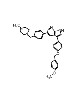 COc1ccc(COc2ccc(-c3c[nH]c4ncc(-c5ccc(CN6CCN(C)CC6)cc5)cc34)cc2)cc1